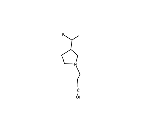 CC(F)C1CCN(CCCO)C1